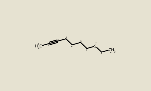 CC#CCCCCS[CH]C